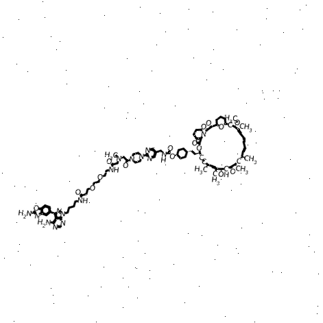 CO[C@H]1CC2CCCC(O2)C(=O)C(=O)N2CCCC[C@H]2C(=O)O[C@H](CC[C@H]2CC[C@H](OC(=O)NCc3cnc(N4CCN(C(=O)CN(C)CC(=O)NCCOCCOCCC(=O)NCCCCn5nc(-c6ccc7oc(N)nc7c6)c6c(N)ncnc65)CC4)nc3)CC2)CC[C@H](C)/C=C(\C)[C@@H](O)CC(=O)[C@H](C)C[C@H](C)/C=C/C=C/C=C/1C